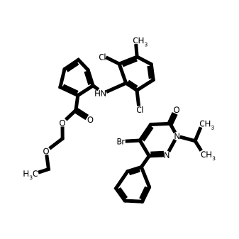 CC(C)n1nc(-c2ccccc2)c(Br)cc1=O.CCOCOC(=O)c1ccccc1Nc1c(Cl)ccc(C)c1Cl